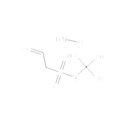 C=CCS(=O)(=O)NC(C)(C)C.NCl